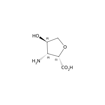 N[C@H]1[C@@H](C(=O)O)OC[C@@H]1O